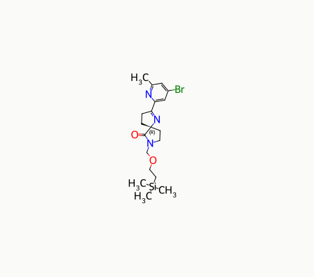 Cc1cc(Br)cc(C2=N[C@]3(CC2)CCN(COCC[Si](C)(C)C)C3=O)n1